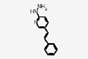 NNc1ccc(C=Cc2ccccc2)cn1